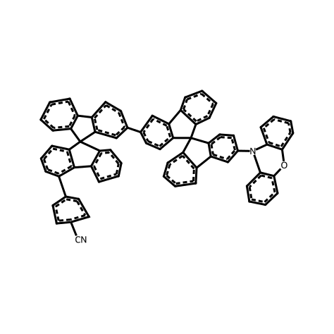 N#Cc1ccc(-c2cccc3c2-c2ccccc2C32c3ccccc3-c3ccc(-c4ccc5c(c4)-c4ccccc4C54c5ccccc5-c5cc(N6c7ccccc7Oc7ccccc76)ccc54)cc32)cc1